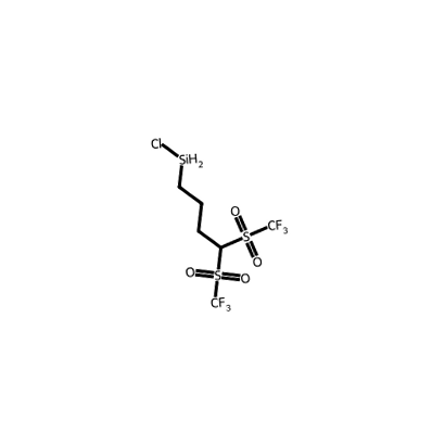 O=S(=O)(C(CCC[SiH2]Cl)S(=O)(=O)C(F)(F)F)C(F)(F)F